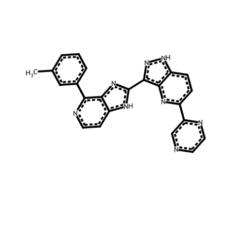 Cc1cccc(-c2nccc3[nH]c(-c4n[nH]c5ccc(-c6cnccn6)nc45)nc23)c1